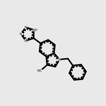 N#Cc1cn(Cc2ccccc2)c2ccc(-c3nnn[nH]3)cc12